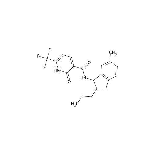 CCCC1Cc2ccc(C)cc2C1NC(=O)c1ccc(C(F)(F)F)[nH]c1=O